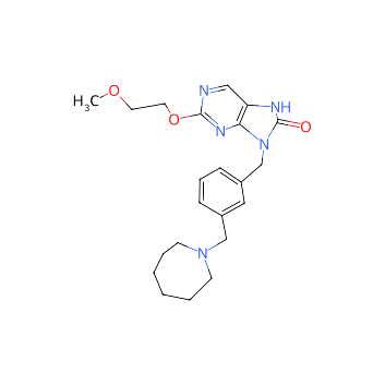 COCCOc1ncc2[nH]c(=O)n(Cc3cccc(CN4CCCCCC4)c3)c2n1